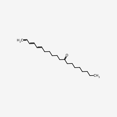 C=CC=CC=CCCCCCC(=O)CCCCCCCC